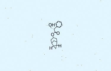 O=C(OC1CC2CC(C1)[C@@H]1C[C@H]21)[C@H](CO)c1ccccc1